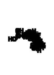 CC(=O)OC1C(NC(=O)C(F)(F)F)[C@H](OCC2O[C@@H](OC(C)=O)C(NC(=O)C(F)(F)F)C(OC(C)=O)[C@@H]2OC(C)=O)OC(Cn2cc(-c3cc(CO)cc(CO)c3)nn2)[C@H]1OC(C)=O